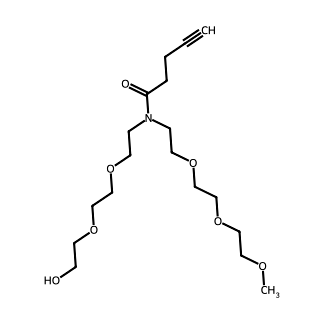 C#CCCC(=O)N(CCOCCOCCO)CCOCCOCCOC